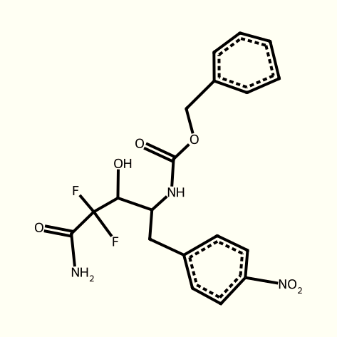 NC(=O)C(F)(F)C(O)C(Cc1ccc([N+](=O)[O-])cc1)NC(=O)OCc1ccccc1